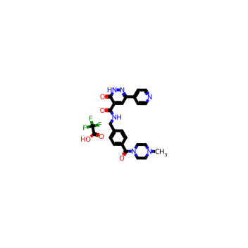 CN1CCN(C(=O)c2ccc(CNC(=O)c3cc(-c4ccncc4)n[nH]c3=O)cc2)CC1.O=C(O)C(F)(F)F